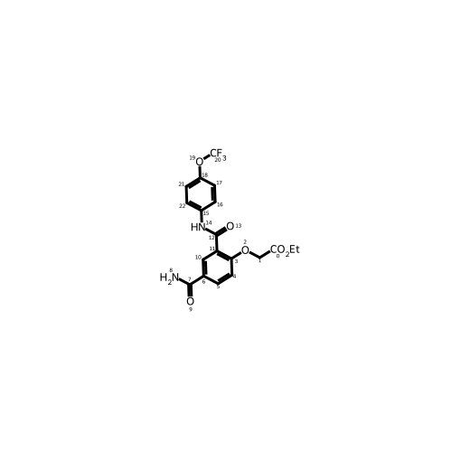 CCOC(=O)COc1ccc(C(N)=O)cc1C(=O)Nc1ccc(OC(F)(F)F)cc1